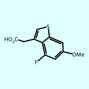 COc1cc(F)c2c(CC(=O)O)csc2c1